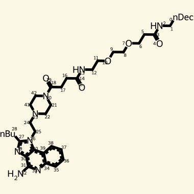 CCCCCCCCCCCNC(=O)CCOCCOCCNC(=O)CCC(=O)N1CCN(CCn2c(CCCC)nc3c(N)nc4ccccc4c32)CC1